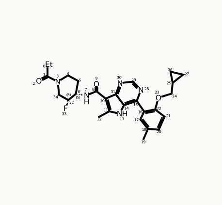 CCC(=O)N1CC[C@H](NC(=O)c2c(C)[nH]c3c(-c4cc(C)ccc4OCC4CC4)ncnc23)[C@H](F)C1